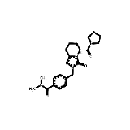 CN(C)C(=O)c1ccc(Cn2nc3n(c2=O)[C@@H](C(=O)N2CCCC2)CCC3)cc1